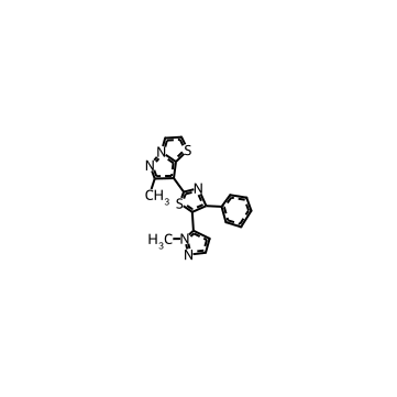 Cc1nn2ccsc2c1-c1nc(-c2ccccc2)c(-c2ccnn2C)s1